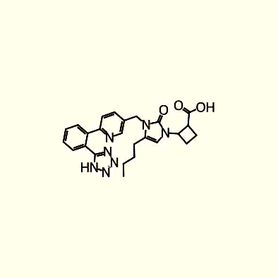 CCCCc1cn(C2CCC2C(=O)O)c(=O)n1Cc1ccc(-c2ccccc2-c2nnn[nH]2)nc1